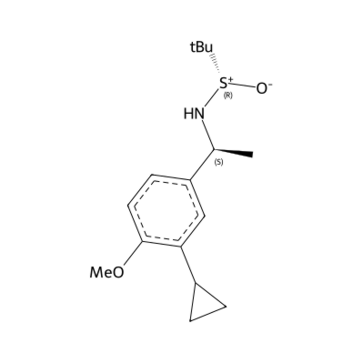 COc1ccc([C@H](C)N[S@@+]([O-])C(C)(C)C)cc1C1CC1